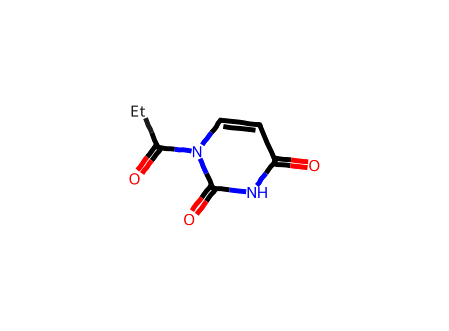 CCC(=O)n1ccc(=O)[nH]c1=O